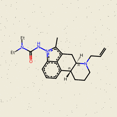 C=CCN1CCC[C@@H]2c3cccc4c3c(c(C)n4NC(=O)N(CC)CC)C[C@H]21